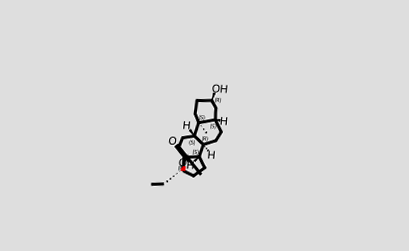 CC[C@H]1OC(=O)[C@]23CC[C@H]4[C@@H](CC[C@H]5C[C@H](O)CC[C@@]54C)[C@@H]2CCC13